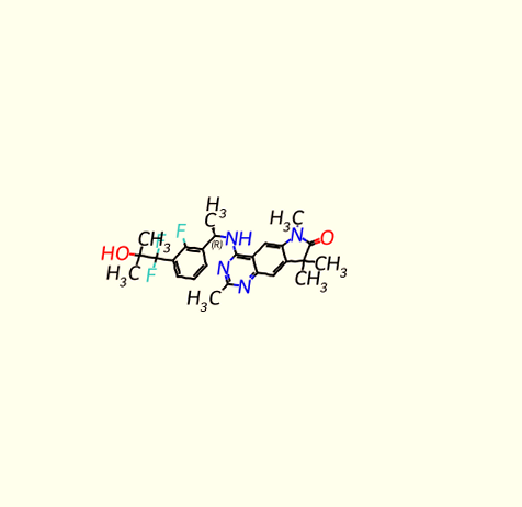 Cc1nc(N[C@H](C)c2cccc(C(F)(F)C(C)(C)O)c2F)c2cc3c(cc2n1)C(C)(C)C(=O)N3C